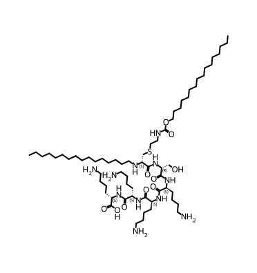 CCCCCCCCCCCCCCCCN[C@H](CSCCNC(=O)OCCCCCCCCCCCCCCCC)C(=O)N[C@H](CO)C(=O)N[C@@H](CCCCN)C(=O)N[C@@H](CCCCN)C(=O)N[C@@H](CCCCN)C(=O)N[C@@H](CCCCN)C(=O)O